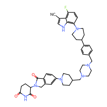 N#Cc1c[nH]c2c(N3CCC(c4ccc(CN5CCN(CC6CCN(c7ccc8c(c7)CN(C7CCC(=O)NC7=O)C8=O)CC6)CC5)cc4)CC3)ccc(F)c12